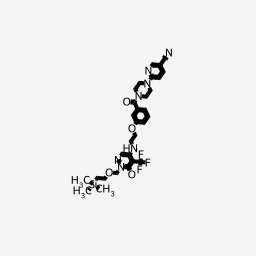 C[Si](C)(C)CCOCn1ncc(NCCOc2cccc(C(=O)N3CCN(c4ccc(C#N)cn4)CC3)c2)c(C(F)(F)F)c1=O